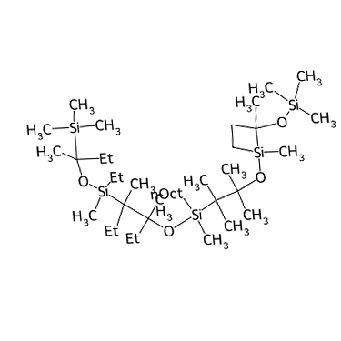 CCCCCCCC[Si](C)(OC(C)(CC)C(C)(CC)[Si](C)(CC)OC(C)(CC)[Si](C)(C)C)C(C)(C)C(C)(C)O[Si]1(C)CCC1(C)O[Si](C)(C)C